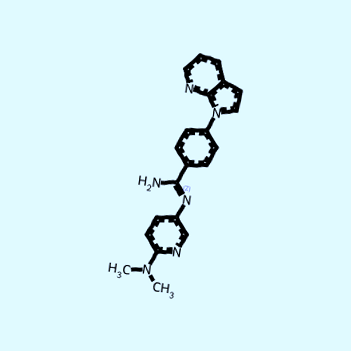 CN(C)c1ccc(/N=C(\N)c2ccc(-n3ccc4cccnc43)cc2)cn1